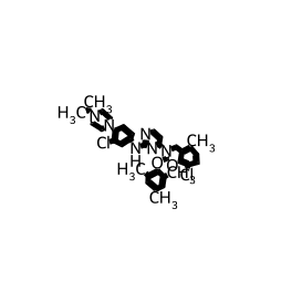 Cc1cc(C)c(OC(=O)N(Cc2cc(Cl)ccc2C)c2ccnc(Nc3ccc(N4CCN(C(C)C)CC4)c(Cl)c3)n2)c(C)c1